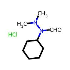 CN(C)N(C=O)C1CCCCC1.Cl